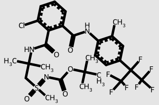 Cc1cc(C(F)(C(F)(F)F)C(F)(F)F)ccc1NC(=O)c1cccc(Cl)c1C(=O)NC(C)(C)CS(C)(=O)=NC(=O)OC(C)(C)C